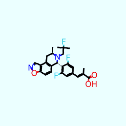 C/C(=C\c1cc(F)c([C@@H]2c3ccc4oncc4c3C[C@@H](C)N2CC(C)(C)F)c(F)c1)C(=O)O